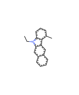 CCn1c2cc3ccccc3cc2c2c(C)cccc21